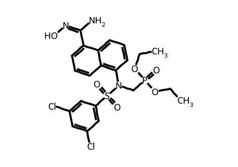 CCOP(=O)(CN(c1cccc2c(/C(N)=N\O)cccc12)S(=O)(=O)c1cc(Cl)cc(Cl)c1)OCC